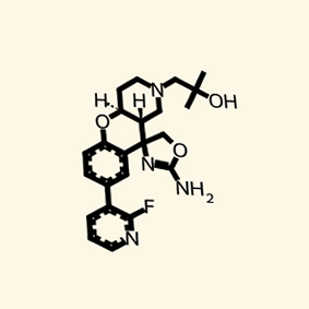 CC(C)(O)CN1CC[C@@H]2Oc3ccc(-c4cccnc4F)cc3C3(COC(N)=N3)[C@H]2C1